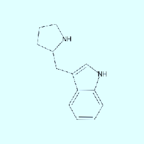 c1ccc2c(CC3CCCN3)c[nH]c2c1